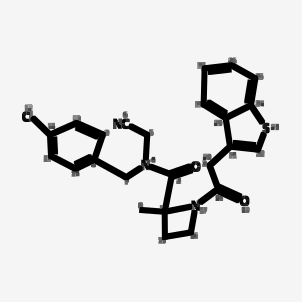 CC1(C(=O)N(CC#N)Cc2ccc(Cl)cc2)CCN1C(=O)Cc1csc2ccccc12